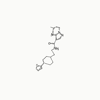 Cc1ccn2ncc(C(=O)NCCC3CCC(c4ccco4)CC3)c2n1